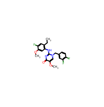 CCc1cc(F)c(OC)cc1Nc1nc(=O)c(OC)cn1Cc1ccc(F)c(F)c1